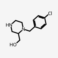 OCC1CNCCN1Cc1ccc(Cl)cc1